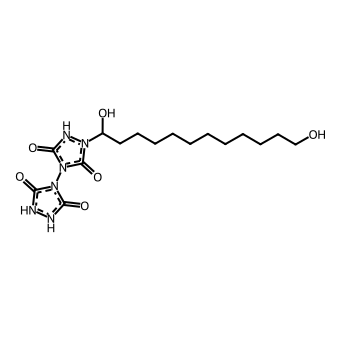 O=c1[nH][nH]c(=O)n1-n1c(=O)[nH]n(C(O)CCCCCCCCCCCO)c1=O